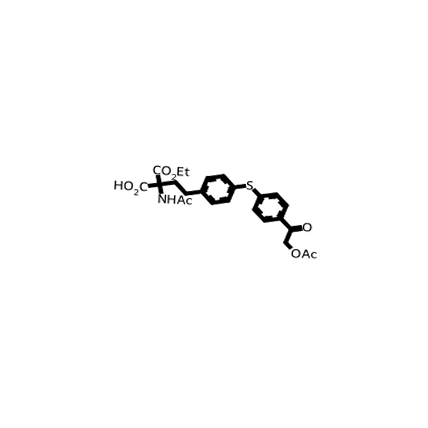 CCOC(=O)C(CCc1ccc(Sc2ccc(C(=O)COC(C)=O)cc2)cc1)(NC(C)=O)C(=O)O